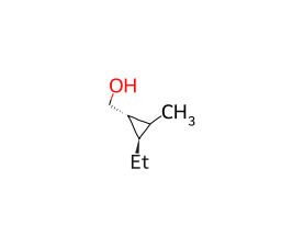 CC[C@@H]1C(C)[C@H]1CO